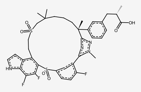 C[C@@H](Cc1cccc([C@@]2(C)CCCC(C)(C)CS(=O)(=O)CCc3c(c(F)c(F)c4[nH]ccc34)S(=O)(=O)c3ccc(F)c(c3)-c3nc2nn3C)c1)C(=O)O